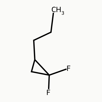 CCCC1CC1(F)F